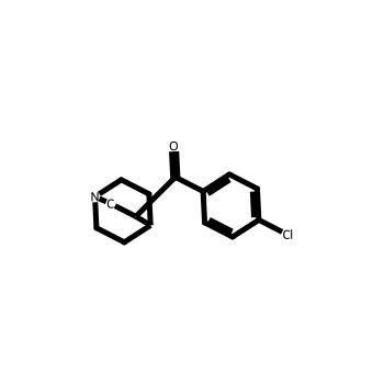 O=C(c1ccc(Cl)cc1)C1CN2CCC1CC2